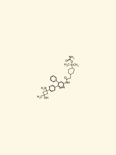 CC(C)(OC(N)=O)C1CCC(CC(=O)Nc2cc(-c3ccccc3)c(-c3ccc([C@]4(N)C[C@](C)(O)C4)cc3)nn2)CC1